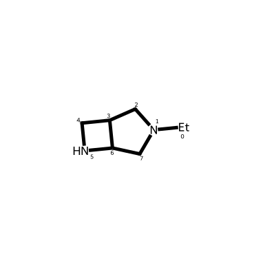 CCN1CC2CNC2C1